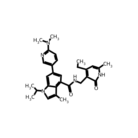 CCc1cc(C)[nH]c(=O)c1CNC(=O)c1cc(-c2ccc(N(C)C)nc2)cc2c1c(C)cn2C(C)C